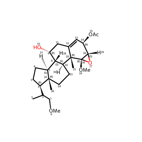 COCC(C)[C@H]1CC[C@H]2[C@@H]3[C@H](O)CC4=C[C@@H](OC(C)=O)[C@@H]5O[C@]5(OC)[C@]4(C)[C@H]3CC[C@]12C